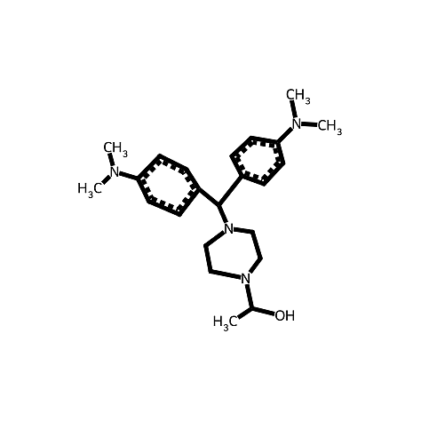 CC(O)N1CCN(C(c2ccc(N(C)C)cc2)c2ccc(N(C)C)cc2)CC1